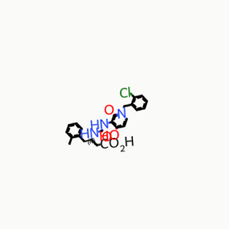 Cc1ccccc1C[C@H](CC(=O)O)NC(=O)Nc1c(O)ccn(Cc2ccccc2Cl)c1=O